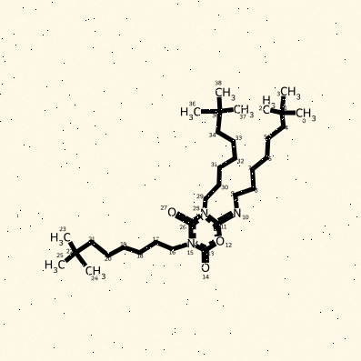 CC(C)(C)CCCCCC/N=c1/oc(=O)n(CCCCCCC(C)(C)C)c(=O)n1CCCCCCC(C)(C)C